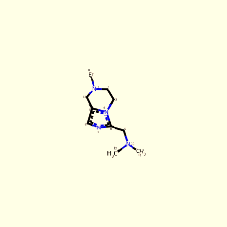 CCN1CCn2c(cnc2CN(C)C)C1